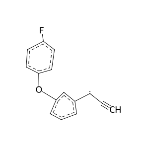 C#C[CH]c1cccc(Oc2ccc(F)cc2)c1